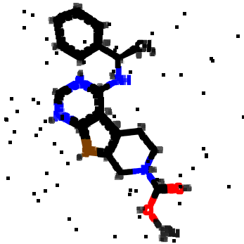 C[C@@H](Nc1ncnc2sc3c(c12)CCN(C(=O)OC(C)(C)C)C3)c1ccccc1